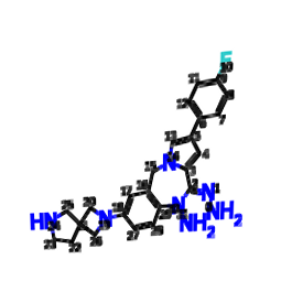 N/N=C1/c2cc(-c3ccc(F)cc3)cn2Cc2cc(N3CC4(CCNC4)C3)ccc2N1N